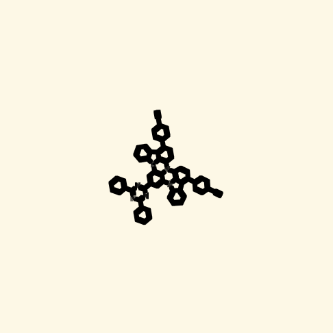 C#Cc1ccc(-c2ccc3c4c2-c2ccccc2B4c2cc(-c4nc(-c5ccccc5)nc(-c5ccccc5)n4)cc4c2N3c2ccc(-c3ccc(C#C)cc3)c3c2B4c2ccccc2-3)cc1